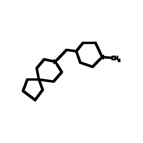 CN1CCC(CN2CCC3(CCCC3)CC2)CC1